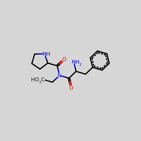 NC(Cc1ccccc1)C(=O)N(CC(=O)O)C(=O)C1CCCN1